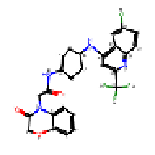 O=C(CN1C(=O)COc2ccccc21)NC1CCC(Nc2cc(C(F)(F)F)nc3ccc(Cl)cc23)CC1